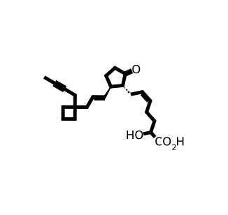 CC#CCC1(C/C=C/[C@H]2CCC(=O)[C@@H]2C/C=C\CCC(O)C(=O)O)CCC1